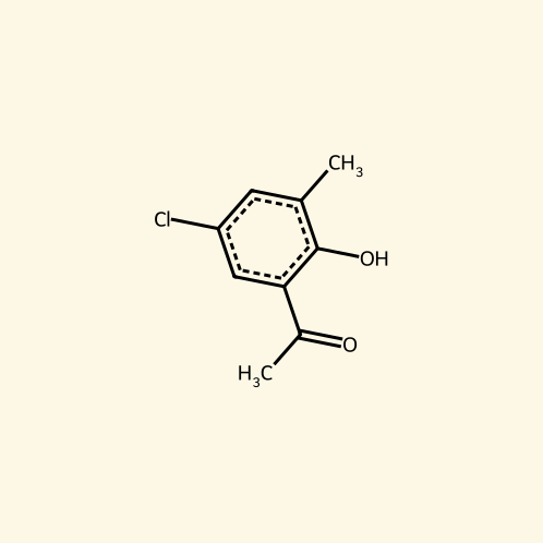 CC(=O)c1cc(Cl)cc(C)c1O